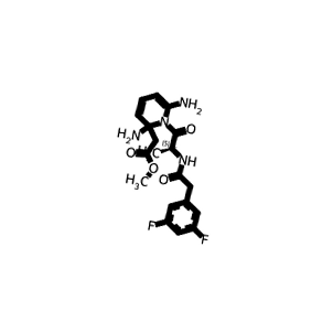 COC(=O)CC1(N)C=CC=C(N)N1C(=O)[C@H](C)NC(=O)Cc1cc(F)cc(F)c1